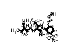 Cc1nsc(N=Nc2c(C(C)(C)C)nn(-c3cc(S(=O)(=O)O)ccc3SOOO)c2N)c1C#N